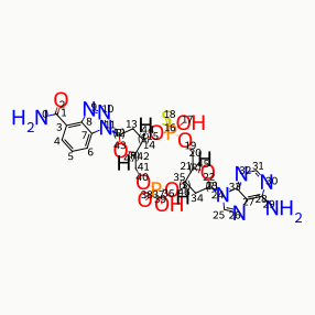 NC(=O)c1cccc2c1nnn2[C@H]1C[C@@H]2OP(O)(=S)OC[C@H]3O[C@@H](n4cnc5c(N)ncnc54)C[C@@H]3OP(=O)(O)OC[C@H]2O1